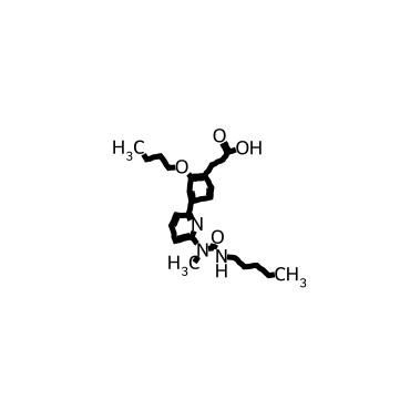 CCCCCNC(=O)N(C)c1cccc(-c2ccc(CCC(=O)O)c(OCCCC)c2)n1